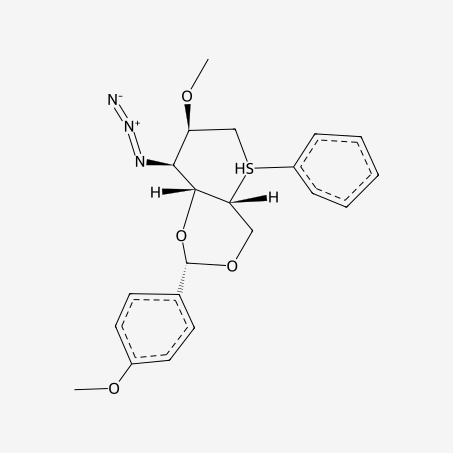 COc1ccc([C@H]2OC[C@@H]3[C@H](O2)[C@@H](N=[N+]=[N-])[C@@H](OC)C[SH]3c2ccccc2)cc1